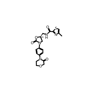 Cc1csc(C(=O)NC[C@H]2CN(c3ccc(N4CCOCC4=O)cc3)C(=O)O2)n1